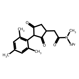 CCCN(C)C(=O)CC1CC(=O)C(c2c(C)cc(C)cc2C)C1=O